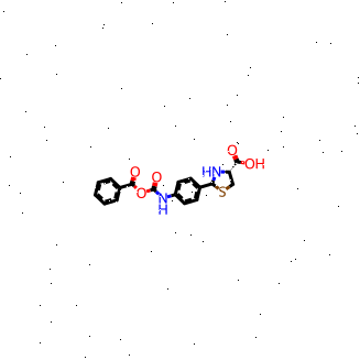 O=C(Nc1ccc(C2N[C@H](C(=O)O)CS2)cc1)OC(=O)c1ccccc1